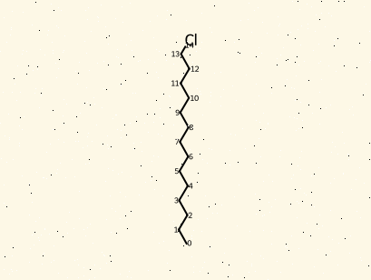 CCCCCCCCCCCCC[CH]Cl